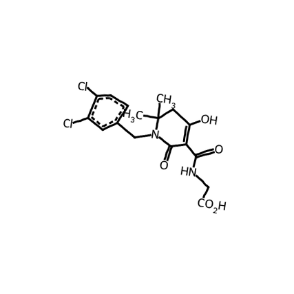 CC1(C)CC(O)=C(C(=O)NCC(=O)O)C(=O)N1Cc1ccc(Cl)c(Cl)c1